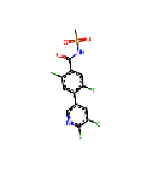 CS(=O)(=O)NC(=O)c1cc(F)c(-c2cnc(F)c(Cl)c2)cc1F